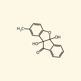 Cc1ccc2c(c1)C1(O)C(=O)c3ccccc3C1(O)O2